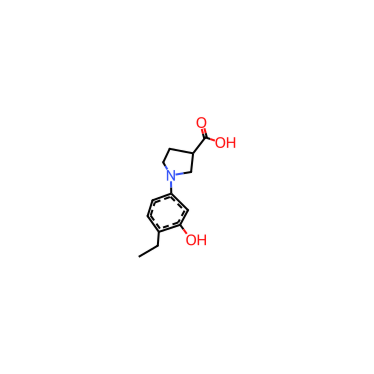 CCc1ccc(N2CCC(C(=O)O)C2)cc1O